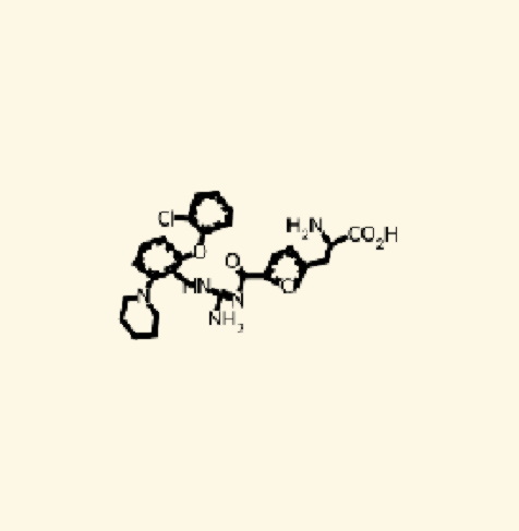 NC(=NC(=O)c1ccc(CC(N)C(=O)O)cc1)NCc1c(Oc2ccccc2Cl)cccc1N1CCCCC1